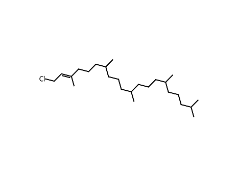 C/C(=C\CCl)CCCC(C)CCCC(C)CCCC(C)CCCC(C)C